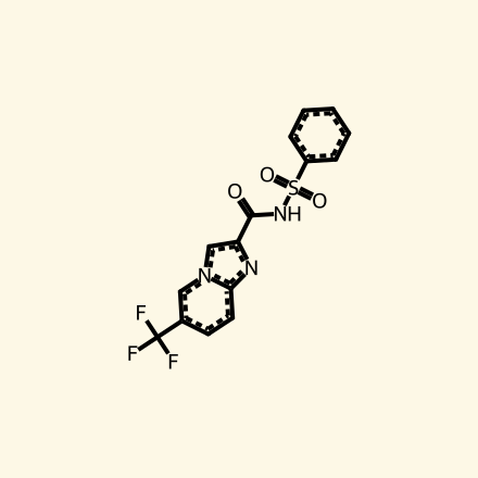 O=C(NS(=O)(=O)c1ccccc1)c1cn2cc(C(F)(F)F)ccc2n1